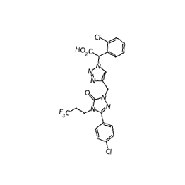 O=C(O)C(c1ccccc1Cl)n1cc(Cn2nc(-c3ccc(Cl)cc3)n(CCC(F)(F)F)c2=O)nn1